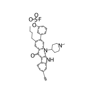 C#Cc1ccc2c(c1)[nH]c1c2c(=O)c2cc(CCCC)c(-c3cccc(OS(=O)(=O)F)c3)cc2n1C1CCN(C)CC1